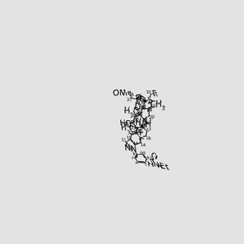 CCNC(=O)c1cccc(-n2ncc3c2C=C2CC[C@H]4[C@@H]5C[C@@H](C)[C@](OC(=O)COC)(C(=O)SCF)[C@@]5(C)C[C@H](O)[C@]4(F)[C@@]2(C)C3)c1